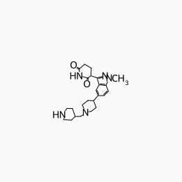 Cn1nc(C2CCC(=O)NC2=O)c2cc(C3CCN(CC4CCNCC4)CC3)ccc21